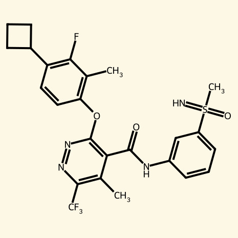 Cc1c(Oc2nnc(C(F)(F)F)c(C)c2C(=O)Nc2cccc(S(C)(=N)=O)c2)ccc(C2CCC2)c1F